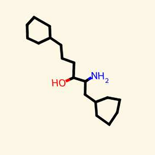 NC(CC1CCCCC1)C(O)CCCC1CCCCC1